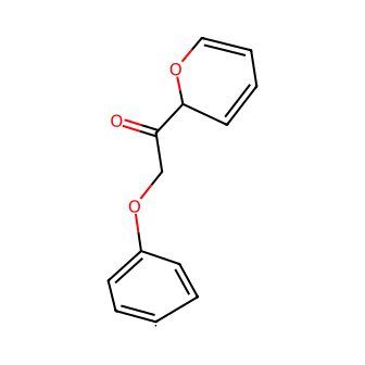 O=C(COc1cc[c]cc1)C1C=CC=CO1